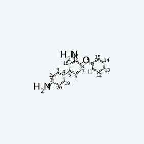 Nc1ccc(-c2ccc(Oc3ccccc3)c(N)c2)cc1